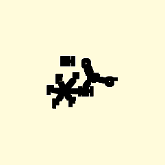 O=[N+]([O-])NS(F)(F)(F)(F)F.[KH]